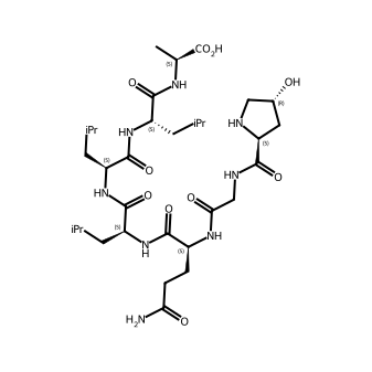 CC(C)C[C@H](NC(=O)[C@H](CC(C)C)NC(=O)[C@H](CC(C)C)NC(=O)[C@H](CCC(N)=O)NC(=O)CNC(=O)[C@@H]1C[C@@H](O)CN1)C(=O)N[C@@H](C)C(=O)O